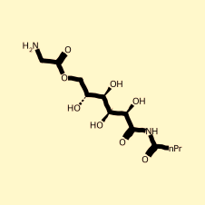 CCCC(=O)NC(=O)[C@H](O)[C@@H](O)[C@H](O)[C@H](O)COC(=O)CN